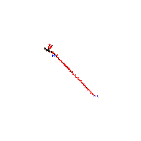 COCCOCCCC1(CCCOCCOC)c2cc(-c3ccccc3)ccc2-c2ccc(-c3ccc(OCCCCNC(=O)CCOCCOCCOCCOCCOCCOCCOCCOCCOCCOCCOCCOCCOCCOCCOCCOCCOCCOCCOCCOCCOCCOCCOCCOCCN)cc3)cc21